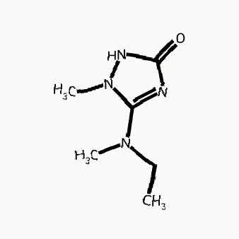 CCN(C)c1nc(=O)[nH]n1C